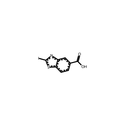 O=C(O)c1ccc2sc(I)nc2c1